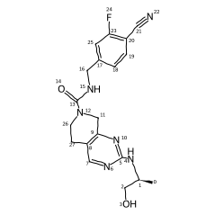 C[C@@H](CO)Nc1ncc2c(n1)CN(C(=O)NCc1ccc(C#N)c(F)c1)CC2